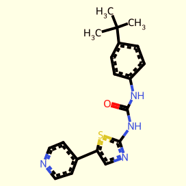 CC(C)(C)c1ccc(NC(=O)Nc2ncc(-c3ccncc3)s2)cc1